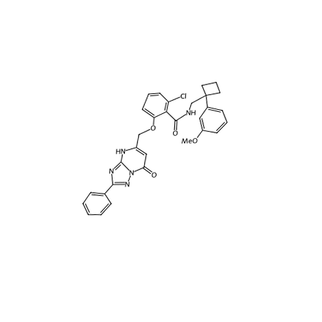 COc1cccc(C2(CNC(=O)c3c(Cl)cccc3OCc3cc(=O)n4nc(-c5ccccc5)nc4[nH]3)CCC2)c1